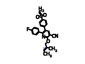 C/C=C(\C)COc1nc(-c2ccc(F)cc2)c(-c2ccc(S(C)(=O)=O)cc2)cc1C#N